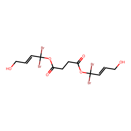 O=C(CCC(=O)OC(Br)(Br)C=CCO)OC(Br)(Br)C=CCO